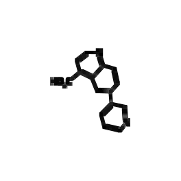 O=C(O)c1ccnc2ccc(-c3cccnc3)cc12